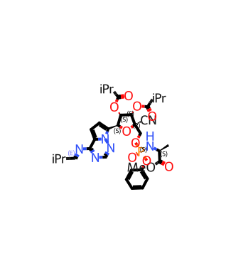 COC(=O)[C@H](C)N[P@](=O)(OC[C@@]1(C#N)O[C@@H](c2ccc3c(/N=C/C(C)C)ncnn23)[C@H](OC(=O)C(C)C)[C@@H]1OC(=O)C(C)C)Oc1ccccc1